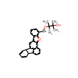 CC(C)(O)C(C)(C)OBc1cccc2c1oc1c3cccc4c3c(cc21)C1C=CC=CC41